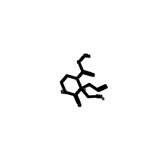 C=CC[C@@]1(CN)C(=O)NCCN1C(=O)OC(C)(C)C